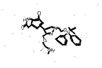 CN[C@H](C)COCc1nn(CCO[Si](c2ccccc2)(c2ccccc2)C(C)(C)C)cc1-c1cc(Cl)c2c(c1)CC(=O)N2